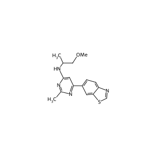 COCC(C)Nc1cc(-c2ccc3ncsc3c2)nc(C)n1